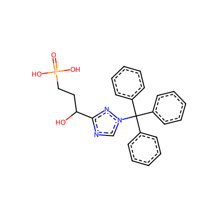 O=P(O)(O)CCC(O)c1ncn(C(c2ccccc2)(c2ccccc2)c2ccccc2)n1